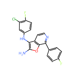 Nc1oc2c(-c3c[c]c(F)cc3)nccc2c1Nc1ccc(F)c(Cl)c1